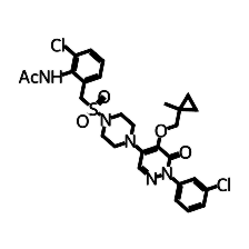 CC(=O)Nc1c(Cl)cccc1CS(=O)(=O)N1CCN(c2cnn(-c3cccc(Cl)c3)c(=O)c2OCC2(C)CC2)CC1